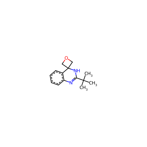 CC(C)(C)C1=Nc2ccccc2C2(COC2)N1